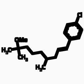 COC(C)(C)CCCC(C)CC=Cc1ccc(Cl)cc1